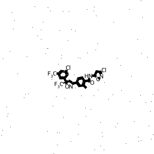 Cc1cc(C2=NO[C@@](c3cc(Cl)cc(C(F)(F)F)c3)(C(F)(F)F)C2)ccc1C(=O)NC1CC(Cl)=NO1